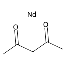 CC(=O)CC(C)=O.[Nd]